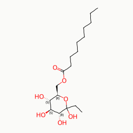 CCCCCCCCCC(=O)OC[C@H]1OC(O)(CC)[C@H](O)[C@@H](O)[C@@H]1O